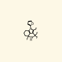 OC1(F)CCCc2c1c(C(F)(F)F)c(F)n2-c1ccco1